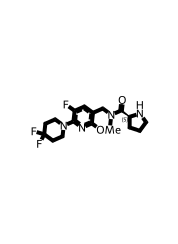 COc1nc(N2CCC(F)(F)CC2)c(F)cc1CN(C)C(=O)[C@@H]1CCCN1